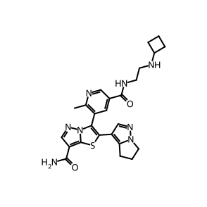 Cc1ncc(C(=O)NCCNC2CCC2)cc1-c1c(-c2cnn3c2CCC3)sc2c(C(N)=O)cnn12